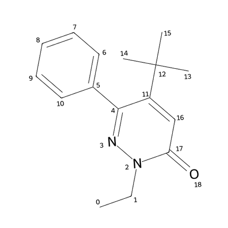 CCn1nc(-c2ccccc2)c(C(C)(C)C)cc1=O